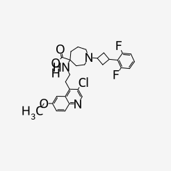 COc1ccc2ncc(Cl)c(CCNC3(C(=O)O)CCCN(C4CC(c5c(F)cccc5F)C4)CC3)c2c1